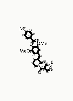 COc1cc(/C=C2\CCCn3c2nc2c(cnn2C)c3=O)cc(OC)c1OC(=O)c1ccc(C#N)cc1